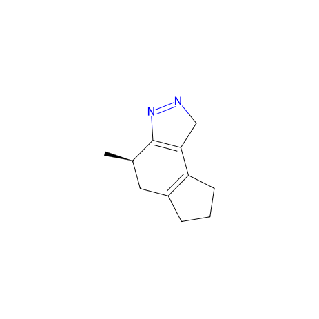 C[C@@H]1CC2=C(CCC2)C2=C1N=NC2